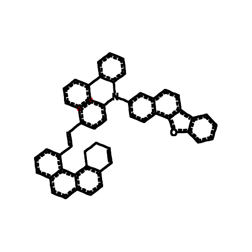 C1=Cc2ccc3ccc4cccc(C=Cc5ccc(N(c6ccc7c(ccc8c9ccccc9oc78)c6)c6ccccc6-c6ccccc6)cc5)c4c3c2CC1